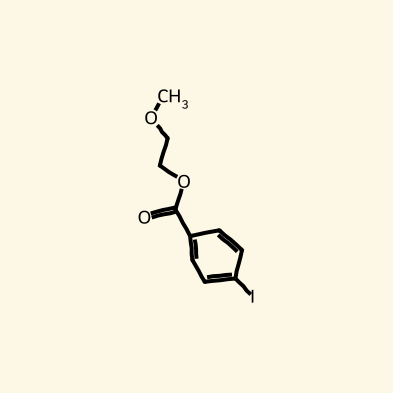 COCCOC(=O)c1ccc(I)cc1